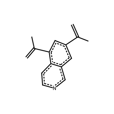 C=C(C)c1cc(C(=C)C)c2ccncc2c1